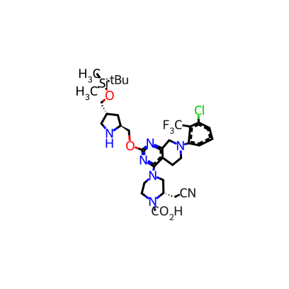 CC(C)(C)[Si](C)(C)OC[C@H]1CN[C@H](COc2nc3c(c(N4CCN(C(=O)O)[C@@H](CC#N)C4)n2)CCN(c2cccc(Cl)c2C(F)(F)F)C3)C1